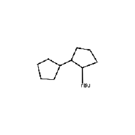 CCCC[C]1CCCC1C1CCCC1